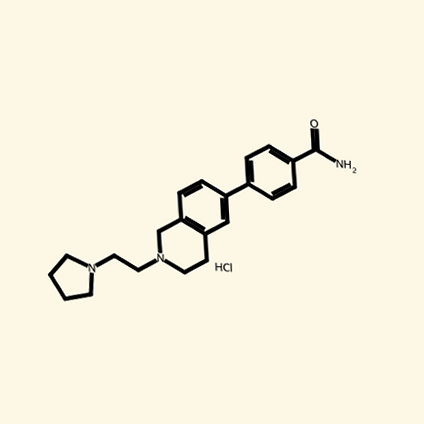 Cl.NC(=O)c1ccc(-c2ccc3c(c2)CCN(CCN2CCCC2)C3)cc1